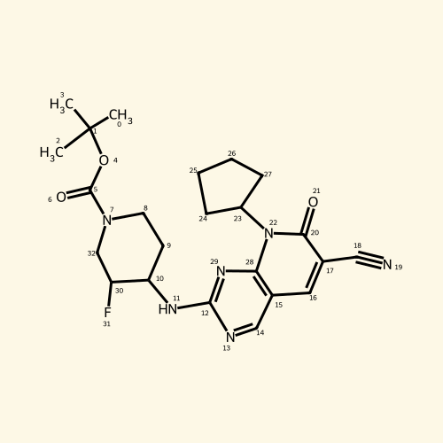 CC(C)(C)OC(=O)N1CCC(Nc2ncc3cc(C#N)c(=O)n(C4CCCC4)c3n2)C(F)C1